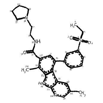 CCS(=O)(=O)c1cccc(-c2cc(C(=O)NCCN3CCCC3)c(C)c3[nH]c4ncc(C)cc4c23)c1